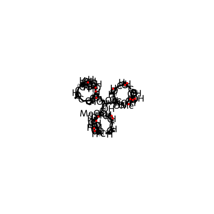 C=C1C[C@@H]2CC[C@@]34C[C@H]5OC6[C@@H](O[C@H]7CC[C@H](CC(=O)C[C@@H]8CC(C[C@H](O)CN(C[C@@H](O)C[C@H]9OC%10C[C@H]%11O[C@H](CCC%11=C)CC[C@@H]%11O[C@@H](CC[C@]%12%13CC[C@H](O%12)C%12O[C@H]%14CC[C@H](CC(=O)C[C@@H]%10[C@H]9OC)O[C@@H]%14[C@H](O%13)C%12O)CC%11=C)C[C@@H](O)C[C@H]9OC%10C[C@H]%11O[C@H](CCC%11=C)CC[C@@H]%11O[C@@H](CC[C@@]%12%13C[C@H]%14OC%15[C@@H](O[C@H]%16CC[C@H](CC(=O)C[C@@H]%10[C@H]9OC)O[C@@H]%16[C@@H]%15O%12)[C@H]%14O%13)CC%11=C)O[C@H]8C[C@H]8OC(CCC8=C)CCC1O2)O[C@@H]7[C@@H]6O3)[C@H]5O4